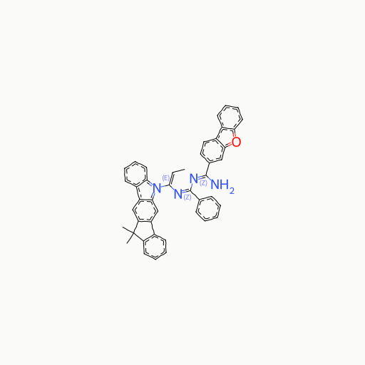 C\C=C(/N=C(\N=C(/N)c1ccc2c(c1)oc1ccccc12)c1ccccc1)n1c2ccccc2c2cc3c(cc21)-c1ccccc1C3(C)C